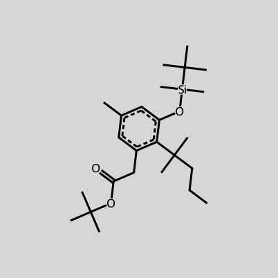 CCCC(C)(C)c1c(CC(=O)OC(C)(C)C)cc(C)cc1O[Si](C)(C)C(C)(C)C